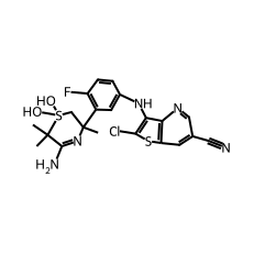 CC1(c2cc(Nc3c(Cl)sc4cc(C#N)cnc34)ccc2F)CS(O)(O)C(C)(C)C(N)=N1